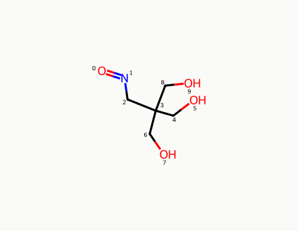 O=NCC(CO)(CO)CO